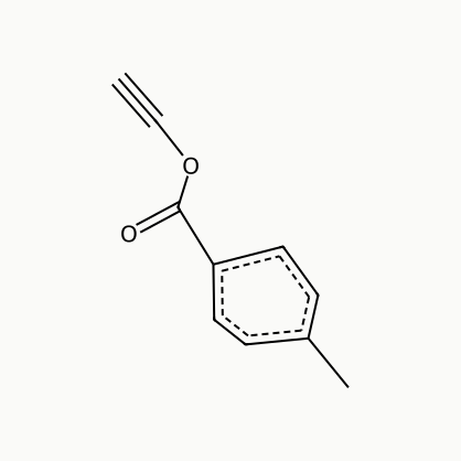 C#COC(=O)c1ccc(C)cc1